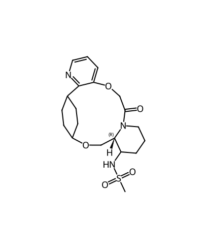 CS(=O)(=O)NC1CCCN2C(=O)COc3cccnc3C3CCC(CC3)OC[C@@H]12